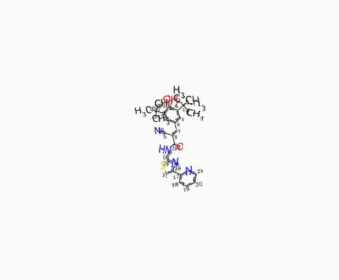 CC(C)(C)c1cc(/C=C(\C#N)C(=O)Nc2nc(-c3ccccn3)cs2)cc(C(C)(C)C)c1O